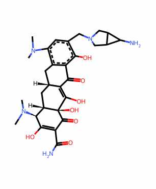 CN(C)c1cc(CN2CC3C(N)C3C2)c(O)c2c1C[C@H]1C[C@H]3[C@H](N(C)C)C(O)=C(C(N)=O)C(=O)[C@@]3(O)C(O)=C1C2=O